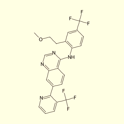 COCCc1cc(C(F)(F)F)ccc1Nc1ncnc2cc(-c3ncccc3C(F)(F)F)ccc12